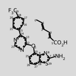 C/C=C/C=C/C(=O)O.Nc1nc2c(Oc3cc(-c4ccc(C(F)(F)F)cc4)ncn3)cccc2s1